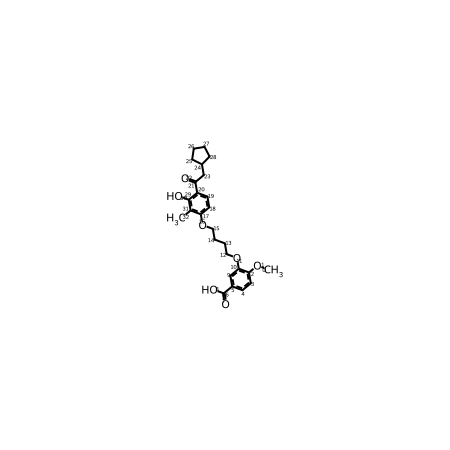 COc1ccc(C(=O)O)cc1OCCCCOc1ccc(C(=O)CC2CCCC2)c(O)c1C